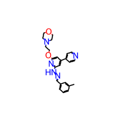 Cc1cccc(C=NNc2cc(-c3ccncc3)cc(OCCN3CCOCC3)n2)c1